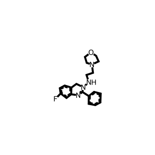 Fc1ccc2c(c1)N=C(c1ccccc1)N(NCCN1CCOCC1)C2